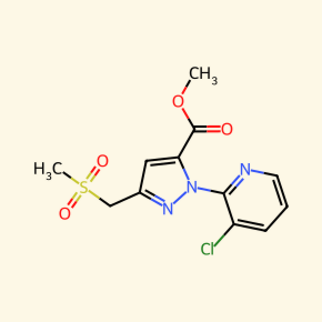 COC(=O)c1cc(CS(C)(=O)=O)nn1-c1ncccc1Cl